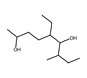 CCC(C)C(O)C(CC)CCC(C)O